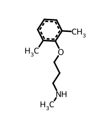 CNCCCOc1c(C)cccc1C